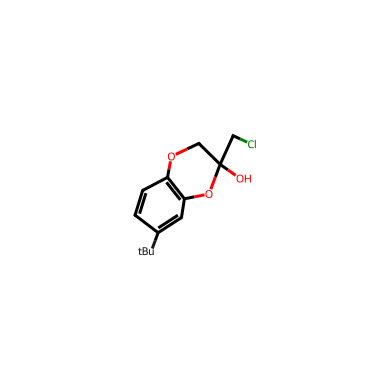 CC(C)(C)c1ccc2c(c1)OC(O)(CCl)CO2